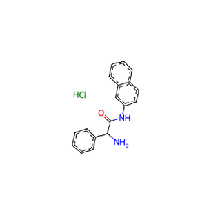 Cl.NC(C(=O)Nc1ccc2ccccc2c1)c1ccccc1